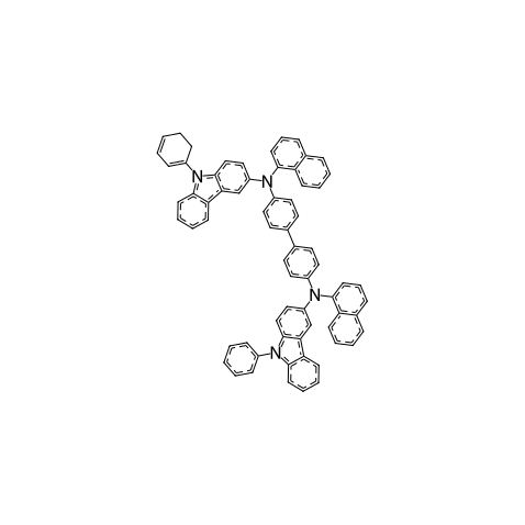 C1=CCCC(n2c3ccccc3c3cc(N(c4ccc(-c5ccc(N(c6ccc7c(c6)c6ccccc6n7-c6ccccc6)c6cccc7ccccc67)cc5)cc4)c4cccc5ccccc45)ccc32)=C1